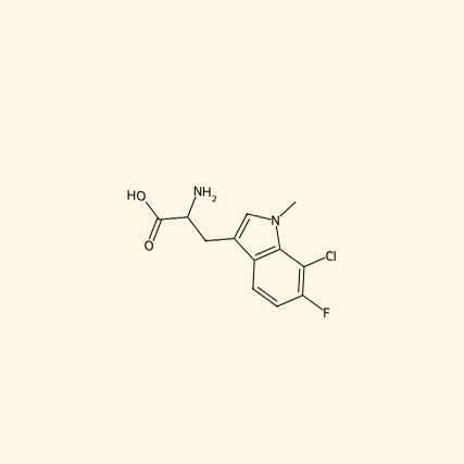 Cn1cc(CC(N)C(=O)O)c2ccc(F)c(Cl)c21